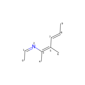 C\C=N/C(C)=C(C)\C=C\C